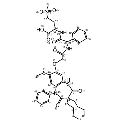 CCCCC1(CCCC)C(=O)[SH]c2cc(OCC(=O)N[C@@H](C(=O)N[C@@H](CCS(C)(=O)=O)C(=O)O)c3ccccc3)c(SC)cc2N(c2ccccc2)C1=O